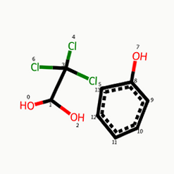 OC(O)C(Cl)(Cl)Cl.Oc1ccccc1